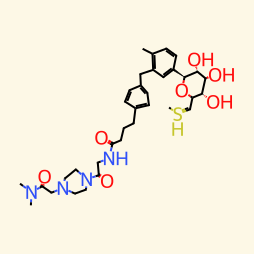 C/[SH]=C\C1O[C@@H](c2ccc(C)c(Cc3ccc(CCCC(=O)NCC(=O)N4CCN(CC(=O)N(C)C)CC4)cc3)c2)[C@H](O)[C@@H](O)[C@@H]1O